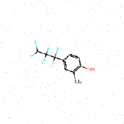 CC(C)(C)c1cc(C(F)(F)C(F)(F)C(F)F)ccc1O